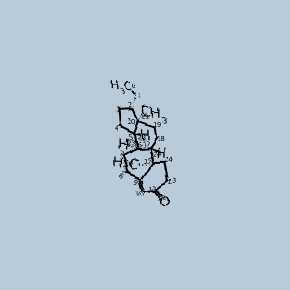 C[CH][C@H]1CC[C@H]2[C@@H]3CCC4=CC(=O)CC[C@]4(C)[C@H]3CC[C@]12C